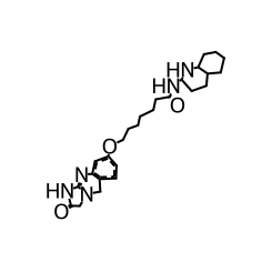 O=C1CN2Cc3ccc(OCCCCCCC(=O)NC4CCC5CCCCC5N4)cc3N=C2N1